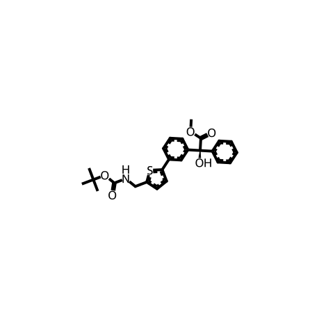 COC(=O)[C@](O)(c1ccccc1)c1cccc(-c2ccc(CNC(=O)OC(C)(C)C)s2)c1